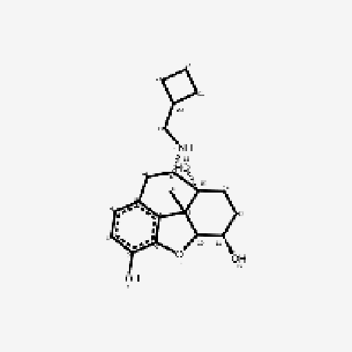 CC12c3c4ccc(O)c3OC1[C@H](O)CC[C@]2(O)[C@@H](NCC1CCC1)C4